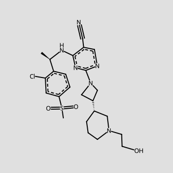 C[C@@H](Nc1nc(N2CC([C@H]3CCCN(CCO)C3)C2)ncc1C#N)c1ccc(S(C)(=O)=O)cc1Cl